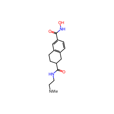 CNCCNC(=O)C1CCc2cc(C(=O)NO)ccc2C1